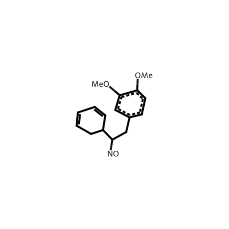 COc1ccc(CC(N=O)C2C=CC=CC2)cc1OC